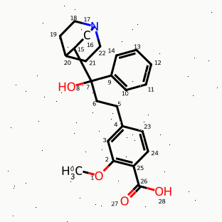 COc1cc(CCC(O)(c2ccccc2)C2CN3CCC2CC3)ccc1C(=O)O